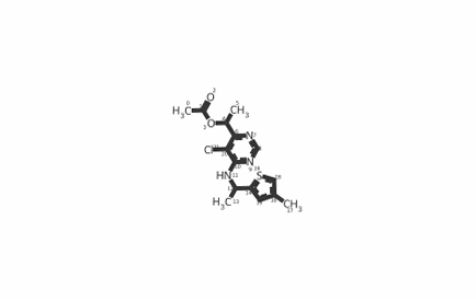 CC(=O)OC(C)c1ncnc(NC(C)c2cc(C)cs2)c1Cl